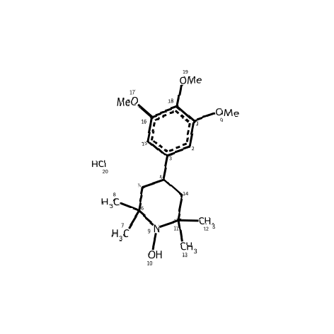 COc1cc(C2CC(C)(C)N(O)C(C)(C)C2)cc(OC)c1OC.Cl